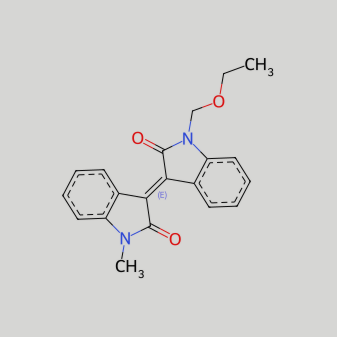 CCOCN1C(=O)/C(=C2/C(=O)N(C)c3ccccc32)c2ccccc21